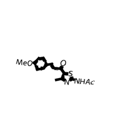 COc1ccc(C=CC(=O)c2sc(NC(C)=O)nc2C)cc1